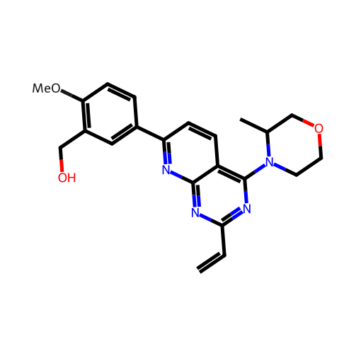 C=Cc1nc(N2CCOCC2C)c2ccc(-c3ccc(OC)c(CO)c3)nc2n1